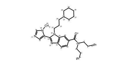 CC(C)CCN(CCC(C)C)C(=O)c1ccc2nc(-c3cncn3C)n(CCCN3CCCCC3)c2c1